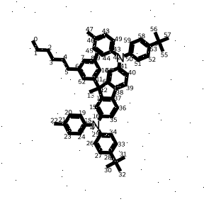 CCCCCCc1cc(C)cc(C2(C)c3cc(N(c4ccc(C)cc4)c4ccc(C(C)(C)C)cc4)ccc3-c3ccc(N(c4ccc(C)cc4)c4ccc(C(C)(C)C)cc4)cc32)c1